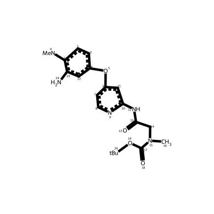 CNc1ccc(Oc2ccnc(NC(=O)CN(C)C(=O)OC(C)(C)C)c2)cc1N